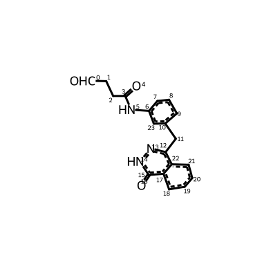 O=CCCC(=O)Nc1cccc(Cc2n[nH]c(=O)c3ccccc23)c1